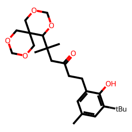 Cc1cc(CCC(=O)CC(C)(C)C2OCOCC23COCOC3)c(O)c(C(C)(C)C)c1